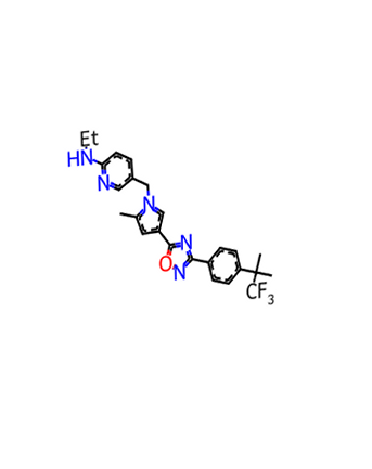 CCNc1ccc(Cn2cc(-c3nc(-c4ccc(C(C)(C)C(F)(F)F)cc4)no3)cc2C)cn1